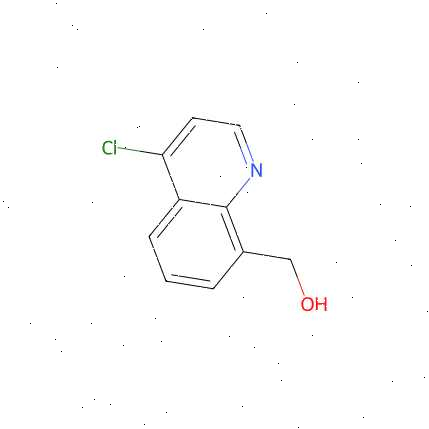 OCc1cccc2c(Cl)ccnc12